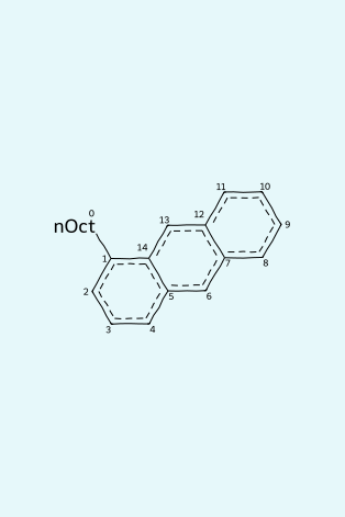 CCCCCCCCc1cccc2cc3ccccc3cc12